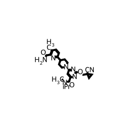 Cc1ccc(C2CCN(c3cc(C(=O)N(C)C(C)C)nc(OCC4(C#N)CC4)n3)CC2)nc1C(N)=O